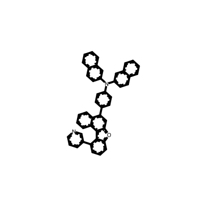 c1cncc(-c2cccc3oc4cc(-c5ccc(N(c6ccc7ccccc7c6)c6ccc7ccccc7c6)cc5)c5ccccc5c4c23)c1